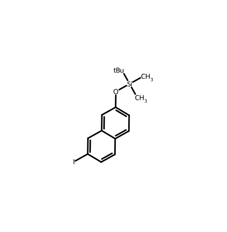 CC(C)(C)[Si](C)(C)Oc1ccc2ccc(I)cc2c1